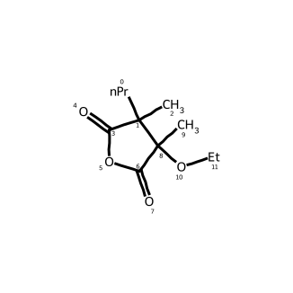 CCCC1(C)C(=O)OC(=O)C1(C)OCC